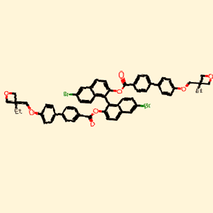 CCC1(COc2ccc(-c3ccc(C(=O)Oc4ccc5cc(Br)ccc5c4-c4c(OC(=O)c5ccc(-c6ccc(OCC7(CC)COC7)cc6)cc5)ccc5cc(Br)ccc45)cc3)cc2)COC1